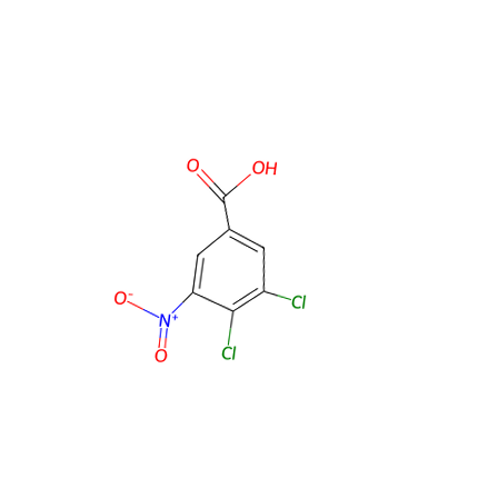 O=C(O)c1cc(Cl)c(Cl)c([N+](=O)[O-])c1